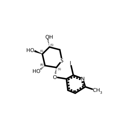 Cc1ccc(O[C@H]2SC[C@@H](O)[C@H](O)[C@H]2O)c(I)n1